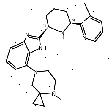 Cc1cccnc1[C@@H]1CCC[C@H](c2nc3cccc(N4CCN(C)C5(CC5)C4)c3[nH]2)N1